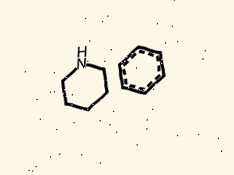 C1CCNCC1.c1ccccc1